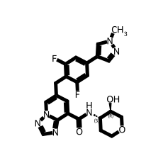 Cn1cc(-c2cc(F)c(Cc3cc(C(=O)N[C@H]4CCOC[C@@H]4O)c4ncnn4c3)c(F)c2)cn1